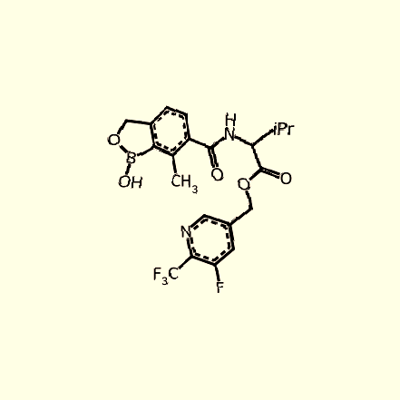 Cc1c(C(=O)NC(C(=O)OCc2cnc(C(F)(F)F)c(F)c2)C(C)C)ccc2c1B(O)OC2